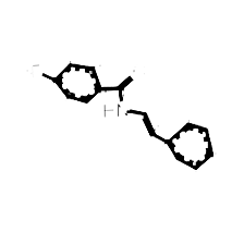 O=C(N/C=C/c1ccccc1)c1ccc(F)cc1